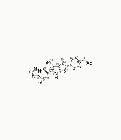 CC(=O)CN1CCC(c2sc3[nH]c(-c4cc(C)c5ncnn5c4)c(C(C)C)c3c2C)CC1